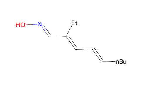 CCCC/C=C/C=C(/C=N/O)CC